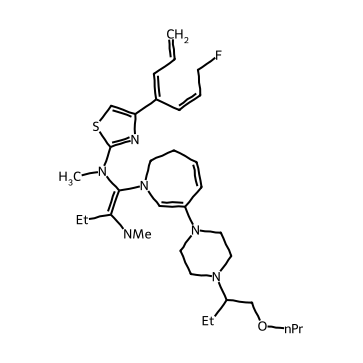 C=C/C=C(\C=C/CF)c1csc(N(C)/C(=C(\CC)NC)N2C=C(N3CCN(C(CC)COCCC)CC3)C=CCC2)n1